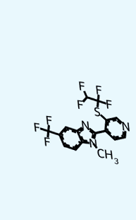 Cn1c(-c2ccncc2SC(F)(F)C(F)F)nc2cc(C(F)(F)F)ccc21